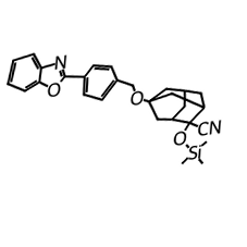 C[Si](C)(C)OC1(C#N)C2CC3CC1CC(OCc1ccc(-c4nc5ccccc5o4)cc1)(C3)C2